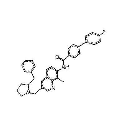 Cc1c(NC(=O)c2ccc(-c3ccc(F)cc3)cc2)ccc2cc(CN3CCCC3Cc3ccccc3)cnc12